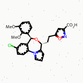 COc1cccc([C@H]2O[C@H](CCc3cc(C(=O)O)no3)c3cccn3-c3ccc(Cl)cc32)c1OC